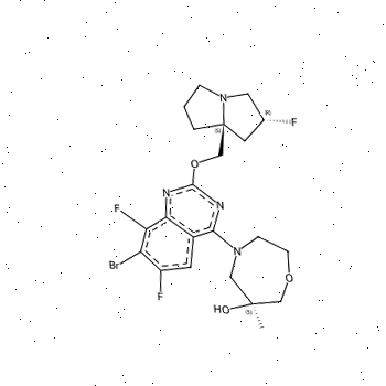 C[C@@]1(O)COCCN(c2nc(OC[C@@]34CCCN3C[C@H](F)C4)nc3c(F)c(Br)c(F)cc23)C1